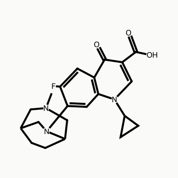 CN1CC2CCC(C1)N(c1cc3c(cc1F)c(=O)c(C(=O)O)cn3C1CC1)C2